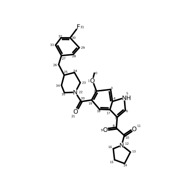 COc1cc2[nH]cc(C(=O)C(=O)N3CCCC3)c2cc1C(=O)N1CCC(Cc2ccc(F)cc2)CC1